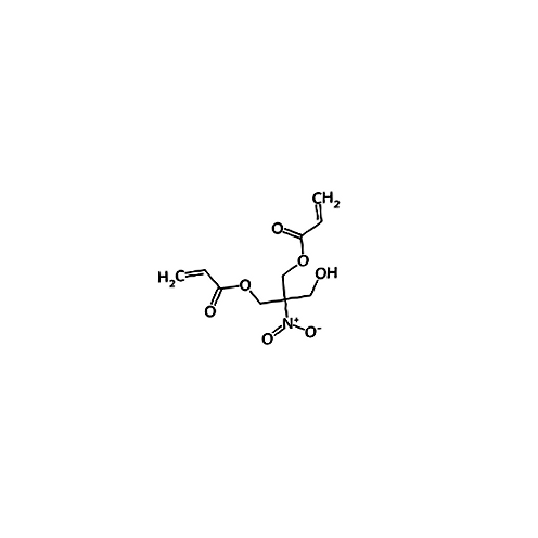 C=CC(=O)OCC(CO)(COC(=O)C=C)[N+](=O)[O-]